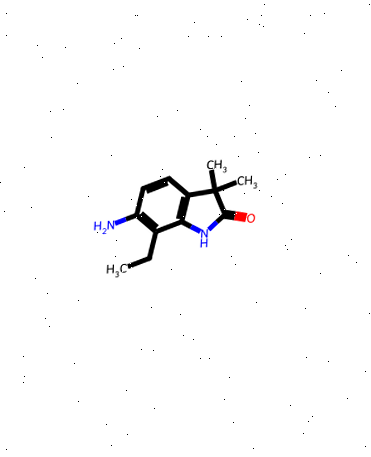 CCc1c(N)ccc2c1NC(=O)C2(C)C